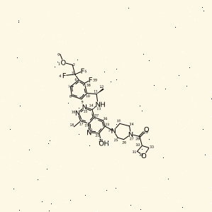 COCC(F)(F)c1cccc([C@@H](C)Nc2nnc(C)c3nc(O)c(N4CCN(C(=O)C5COC5)CC4)cc23)c1F